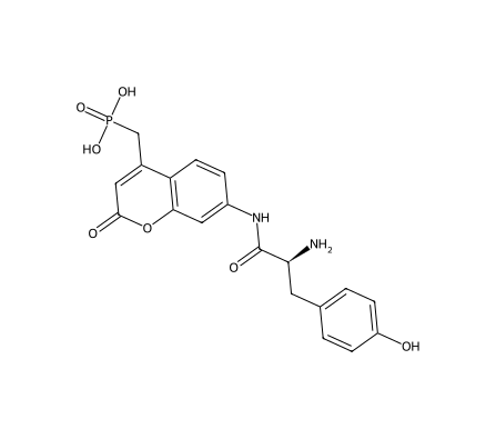 N[C@@H](Cc1ccc(O)cc1)C(=O)Nc1ccc2c(CP(=O)(O)O)cc(=O)oc2c1